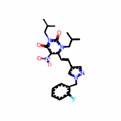 CC(C)Cn1c(/C=C/c2cnn(Cc3ccccc3F)c2)c([N+](=O)[O-])c(=O)n(CC(C)C)c1=O